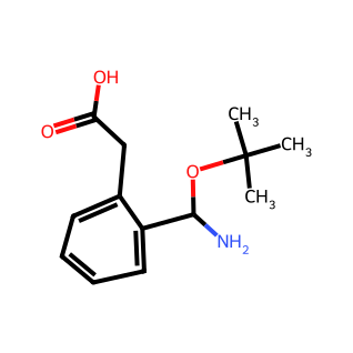 CC(C)(C)OC(N)c1ccccc1CC(=O)O